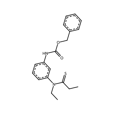 CCC(=S)N(CC)c1cccc(NC(=O)OCc2ccccc2)c1